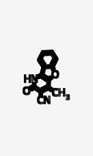 Cc1c(C#N)c(=O)[nH]c2c1oc1ccccc12